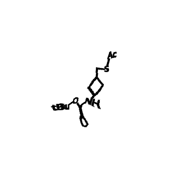 CC(=O)SCC1CC(NC(=O)OC(C)(C)C)C1